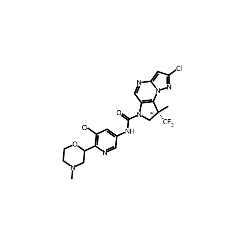 CN1CCOC(c2ncc(NC(=O)N3C[C@@](C)(C(F)(F)F)c4c3cnc3cc(Cl)nn43)cc2Cl)C1